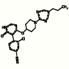 CCCc1cnc(N2CCC(Oc3cc[nH]c(=O)c3-c3ccc(C#N)cc3Cl)CC2)nc1